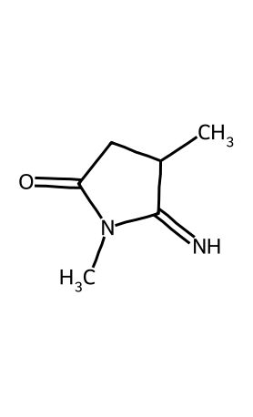 CC1CC(=O)N(C)C1=N